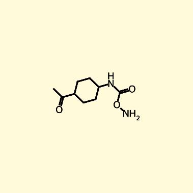 CC(=O)C1CCC(NC(=O)ON)CC1